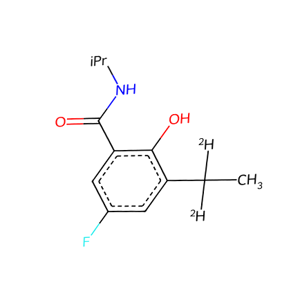 [2H]C([2H])(C)c1cc(F)cc(C(=O)NC(C)C)c1O